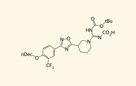 CCCCCCCCCCOc1ccc(-c2noc(C3CCCN(C(=NC(=O)O)NC(=O)OC(C)(C)C)C3)n2)cc1C(F)(F)F